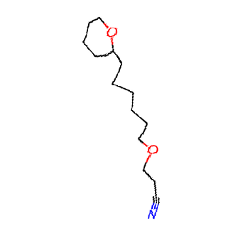 N#CCCOCCCCCCC1CCCCO1